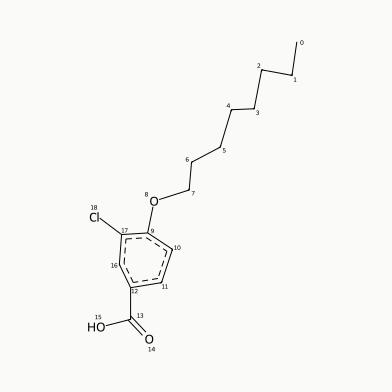 CCCCCCCCOc1ccc(C(=O)O)cc1Cl